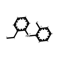 CCc1ccccc1Nc1ccccc1C